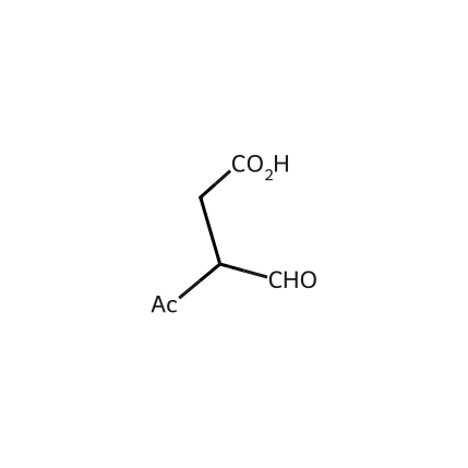 CC(=O)C(C=O)CC(=O)O